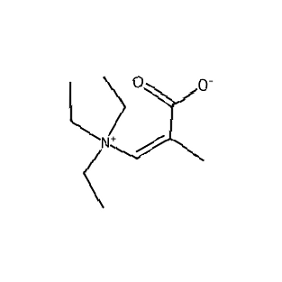 CC[N+](C=C(C)C(=O)[O-])(CC)CC